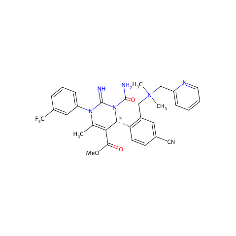 COC(=O)C1=C(C)N(c2cccc(C(F)(F)F)c2)C(=N)N(C(N)=O)[C@@H]1c1ccc(C#N)cc1C[N+](C)(C)Cc1ccccn1